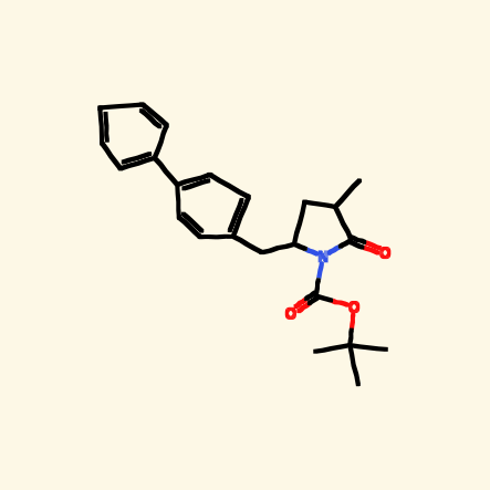 CC1CC(Cc2ccc(-c3ccccc3)cc2)N(C(=O)OC(C)(C)C)C1=O